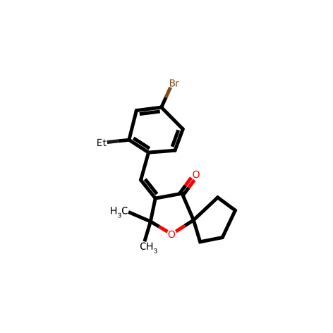 CCc1cc(Br)ccc1C=C1C(=O)C2(CCCC2)OC1(C)C